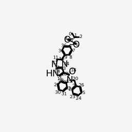 CC(C)S(=O)(=O)c1ccc(-c2cnc3[nH]cc(C(=O)N(Cc4ccccc4)c4ccccc4)c3n2)cc1